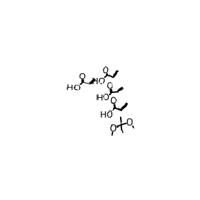 C=CC(=O)O.C=CC(=O)O.C=CC(=O)O.C=CC(=O)O.COC(C)(C)OC